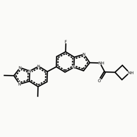 Cc1nc2c(C)cc(-c3cc(F)c4nc(NC(=O)C5CNC5)cn4c3)nn2n1